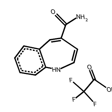 NC(=O)C1=Cc2ccccc2NC=C1.O=C(O)C(F)(F)F